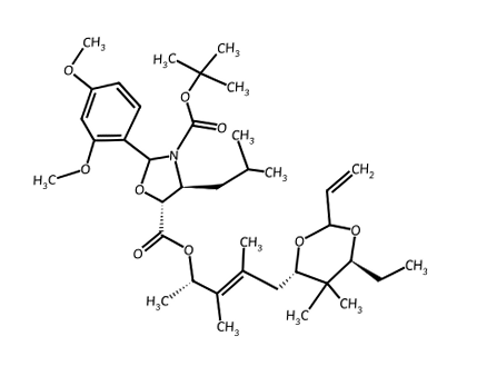 C=CC1O[C@@H](CC)C(C)(C)[C@H](C/C(C)=C(\C)[C@H](C)OC(=O)[C@@H]2OC(c3ccc(OC)cc3OC)N(C(=O)OC(C)(C)C)[C@H]2CC(C)C)O1